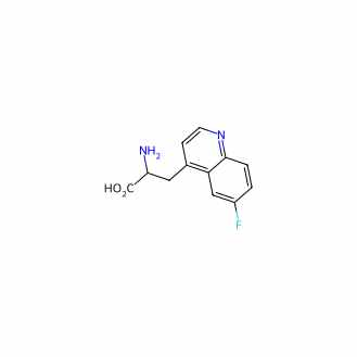 NC(Cc1ccnc2ccc(F)cc12)C(=O)O